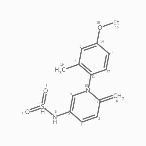 C=C1C=CC(N[SH](=O)=O)=CN1c1ccc(OCC)cc1C